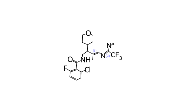 C=N/C(=N\C=C(/C)C(CNC(=O)c1c(F)cccc1Cl)C1CCOCC1)C(F)(F)F